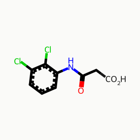 O=C(O)CC(=O)Nc1cccc(Cl)c1Cl